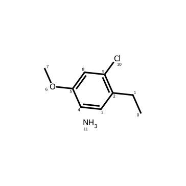 CCc1ccc(OC)cc1Cl.N